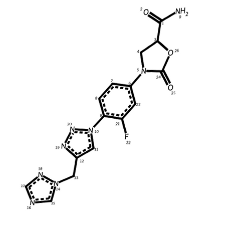 NC(=O)C1CN(c2ccc(-n3cc(Cn4cncn4)nn3)c(F)c2)C(=O)O1